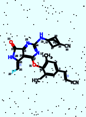 Cc1cc(/C=C/C#N)cc(C)c1Oc1nc(NC23CC(C#N)(C2)C3)nc2c1/C(=C/F)NC2=O